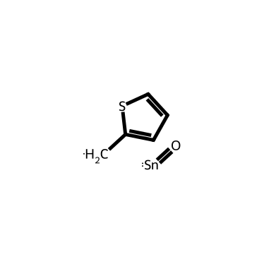 [CH2]c1cccs1.[O]=[Sn]